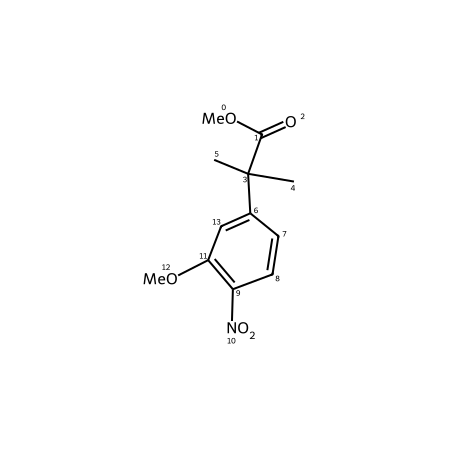 COC(=O)C(C)(C)c1ccc([N+](=O)[O-])c(OC)c1